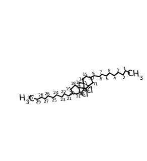 CCCCCCCCCCC1CC[C@]2(CC1)C[C@@]1(CCC(CCCCCCCCCC)CC1)C2(Cl)Cl